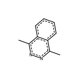 Cc1nnc(C)c2ccccc12